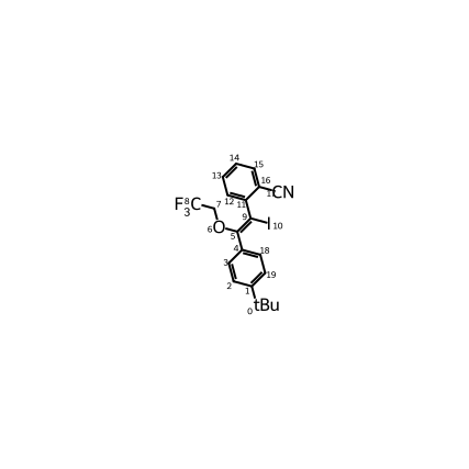 CC(C)(C)c1ccc(C(OCC(F)(F)F)=C(I)c2ccccc2C#N)cc1